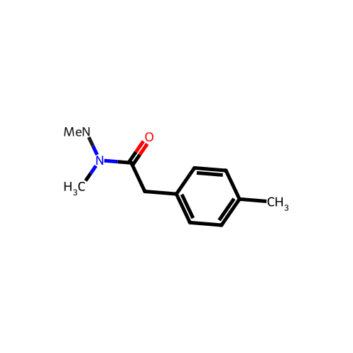 CNN(C)C(=O)Cc1ccc(C)cc1